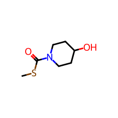 CSC(=O)N1CCC(O)CC1